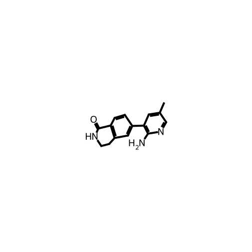 Cc1cnc(N)c(-c2ccc3c(c2)CCNC3=O)c1